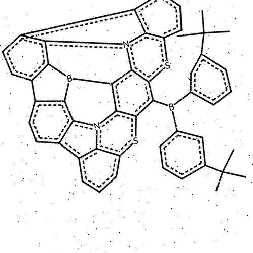 CC(C)(C)c1cccc(B(c2cccc(C(C)(C)C)c2)c2c3sc4cccc5c6ccc7c8c6n(c3c3c6c2sc2cccc9c%10ccc-7c(c%10n6c29)B38)c45)c1